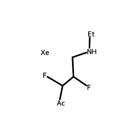 CCNCC(F)C(F)C(C)=O.[Xe]